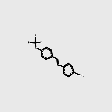 Cc1ccc(C=Cc2ccc(OC(F)(F)F)cc2)cc1